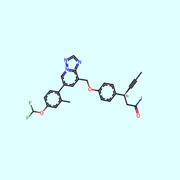 CC#C[C@@H](CC(=O)I)c1ccc(OCc2cc(-c3ccc(OC(F)F)cc3C)cn3ncnc23)cc1